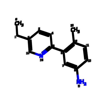 CCc1ccc(-c2cc(N)ccc2C)nc1